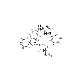 CN1CCC(N2CC3(CCOCC3)c3ccc(Nc4ncn(-c5ccccc5)n4)cc32)C1